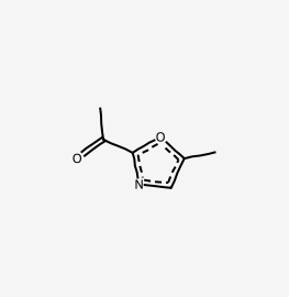 CC(=O)c1ncc(C)o1